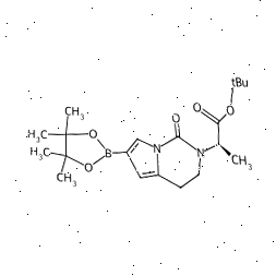 C[C@H](C(=O)OC(C)(C)C)N1CCc2cc(B3OC(C)(C)C(C)(C)O3)cn2C1=O